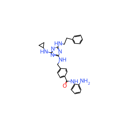 Nc1ccccc1NC(=O)c1ccc(CNc2nc(NCCc3ccccc3)nc(NC3CC3)n2)cc1